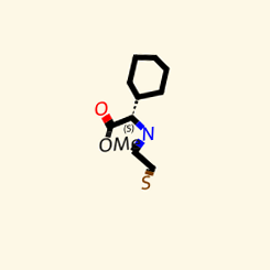 COC(=O)[C@@H](N=CC=S)C1CCCCC1